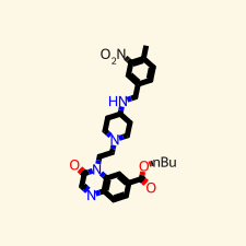 CCCCOC(=O)c1ccc2ncc(=O)n(CCN3CCC(NCc4ccc(C)c([N+](=O)[O-])c4)CC3)c2c1